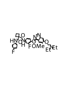 CCN(CC)CCOc1cc2ncnc(Oc3ccc(NC(=O)C4(C(=O)Nc5ccc(F)cc5)CCC4)cc3F)c2cc1OC